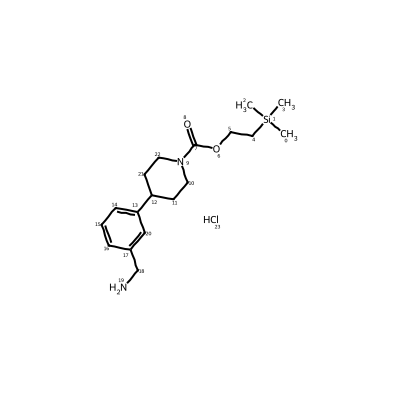 C[Si](C)(C)CCOC(=O)N1CCC(c2cccc(CN)c2)CC1.Cl